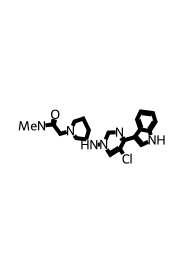 CNC(=O)CN1CCCC(NN2C=C(Cl)C(c3c[nH]c4ccccc34)=NC2)C1